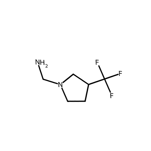 NCN1CCC(C(F)(F)F)C1